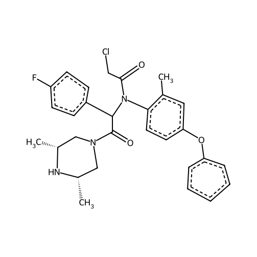 Cc1cc(Oc2ccccc2)ccc1N(C(=O)CCl)C(C(=O)N1C[C@@H](C)N[C@@H](C)C1)c1ccc(F)cc1